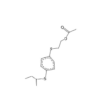 CCC(C)Sc1ccc(SCCOC(C)=O)cc1